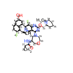 C#Cc1c(F)ccc2cc(O)cc(-c3ncc4c(N5CCOCC(NC(=O)C=C)C5)nc(OC[C@H]5CCCCN5C)nc4c3F)c12